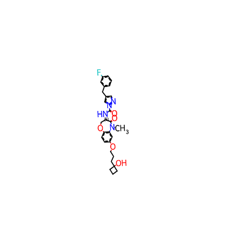 CN1C(=O)[C@@H](NC(=O)n2cc(Cc3cccc(F)c3)cn2)COc2ccc(OCCCC3(O)CCC3)cc21